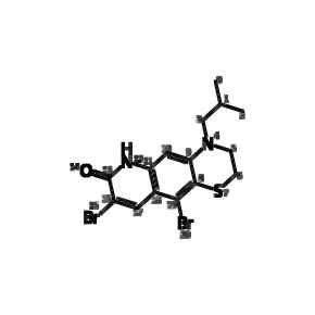 CC(C)CN1CCSc2c1cc1[nH]c(=O)c(Br)cc1c2Br